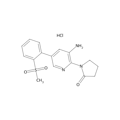 CS(=O)(=O)c1ccccc1-c1cnc(N2CCCC2=O)c(N)c1.Cl